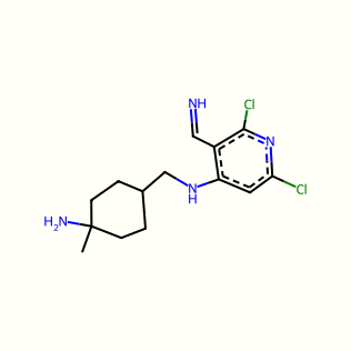 CC1(N)CCC(CNc2cc(Cl)nc(Cl)c2C=N)CC1